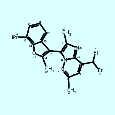 CCC(CC)c1cc(C)nn2c(-c3c(C)oc4c(C(C)C)cccc34)c(C)nc12